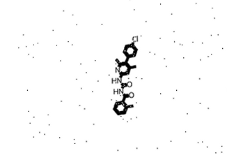 Cc1ccccc1C(=O)NC(=O)Nc1cc(C)c(-c2ccc(Cl)cc2)c(C)n1